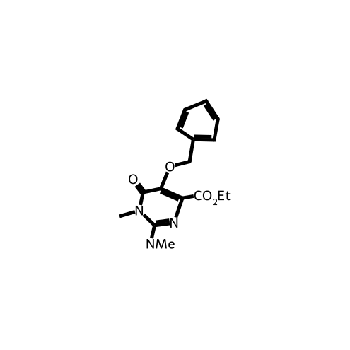 CCOC(=O)c1nc(NC)n(C)c(=O)c1OCc1ccccc1